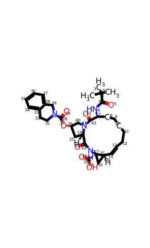 CC(C)(C)C(=O)N[C@H]1CCCCC/C=C/[C@@H]2C[C@@]2(C(=O)O)NC(=O)[C@@H]2C[C@@H](OC(=O)N3CCc4ccccc4C3)CN2C1=O